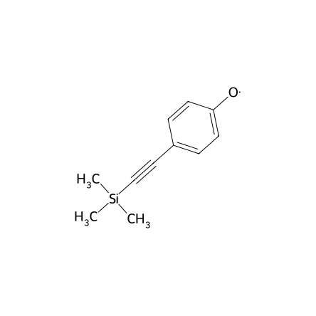 C[Si](C)(C)C#Cc1ccc([O])cc1